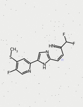 CSc1cc(-c2cnc(/C=C\C(=N)C(F)F)[nH]2)ncc1F